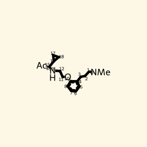 CNCCCc1ccccc1OCCN[C@H](C(C)=O)C1CC1